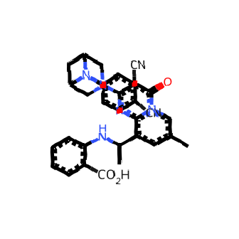 Cc1cc(C(C)Nc2ccccc2C(=O)O)c2nc(N3CC4CC(C3)N4c3ccc(C#N)cc3)c(C#N)c(=O)n2c1